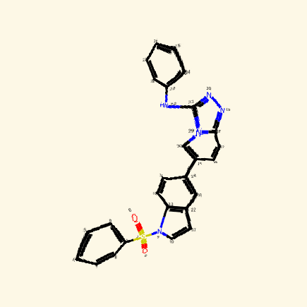 O=S(=O)(c1ccccc1)n1ccc2cc(-c3ccc4nnc(Nc5ccccc5)n4c3)ccc21